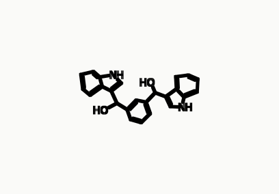 OC(c1cccc(C(O)c2c[nH]c3ccccc23)c1)c1c[nH]c2ccccc12